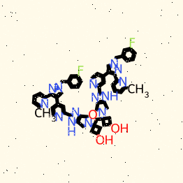 Cc1cccc(-c2nn(Cc3cccc(F)c3)cc2-c2ccnc(-c3nc4c([nH]3)CN(C3(C(=O)C5(N6Cc7nc(-c8cc(-c9cn(Cc%10cccc(F)c%10)nc9-c9cccc(C)n9)ccn8)[nH]c7C6)CC(O)C5)CC(O)C3)C4)c2)n1